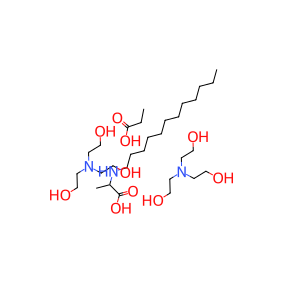 CCC(=O)O.CCCCCCCCCCCCNC(C)C(=O)O.OCCN(CCO)CCO.OCCN(CCO)CCO